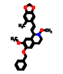 COc1cc2c(cc1OCc1ccccc1)CCN(OC)C2/C=C/c1cc2c(cc1C)OCO2